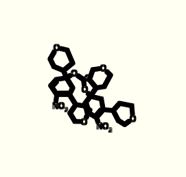 O=C(OC1(C2CCOCC2)C=CC([N+](=O)[O-])=C(C2CCOCC2)C1)OC1(C2CCOCC2)C=CC([N+](=O)[O-])=C(C2CCOCC2)C1